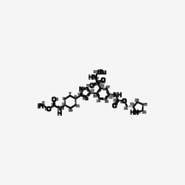 CC(C)OC(=O)NC1CCC(c2ncc(-c3ccc(NC(=O)OC[C@@H]4CCCN4)cc3S(=O)(=O)NC(C)(C)C)s2)CC1